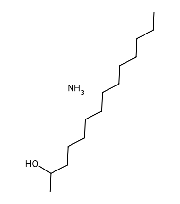 CCCCCCCCCCCCC(C)O.N